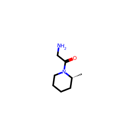 C[C@@H]1CCCCN1C(=O)CN